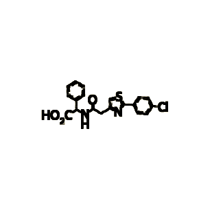 O=C(Cc1csc(-c2ccc(Cl)cc2)n1)NC(C(=O)O)c1ccccc1